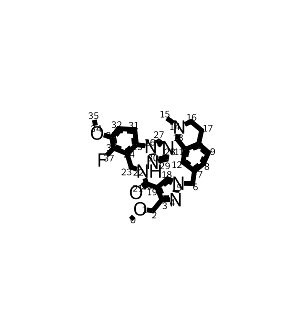 COCc1nn(Cc2ccc3c(c2)CN(C)CC3)cc1C(=O)NCc1c(-n2cncn2)ccc(OC)c1F